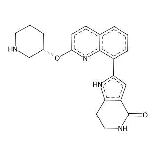 O=C1NCCc2[nH]c(-c3cccc4ccc(O[C@H]5CCCNC5)nc34)cc21